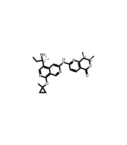 CC[C@@](C)(N)c1cnc(OC2(C)CC2)c2cnc(Nc3ccc4c(n3)[C@@H](C)[C@@H](C)OC4=O)cc12